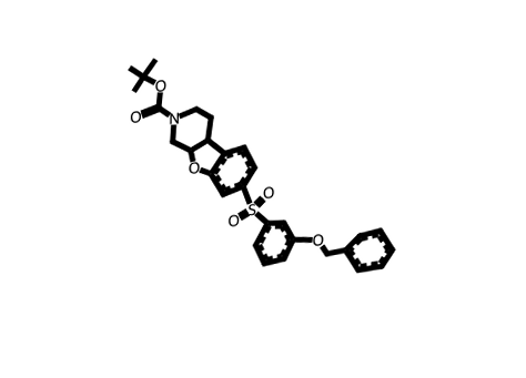 CC(C)(C)OC(=O)N1CCC2c3ccc(S(=O)(=O)c4cccc(OCc5ccccc5)c4)cc3OC2C1